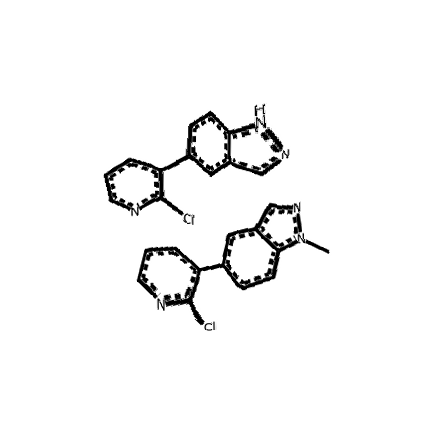 Clc1ncccc1-c1ccc2[nH]ncc2c1.Cn1ncc2cc(-c3cccnc3Cl)ccc21